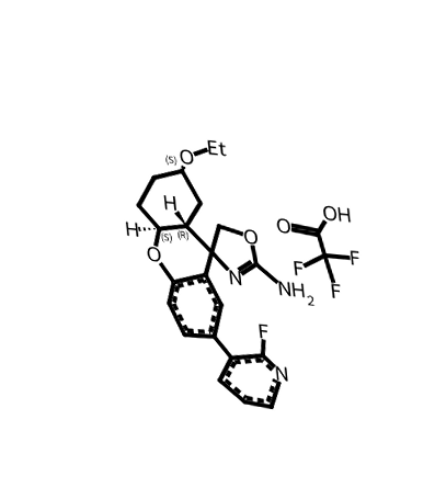 CCO[C@H]1CC[C@@H]2Oc3ccc(-c4cccnc4F)cc3C3(COC(N)=N3)[C@H]2C1.O=C(O)C(F)(F)F